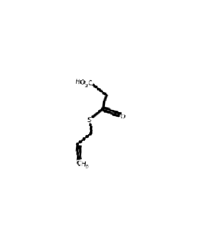 C=CCSC(=O)CC(=O)O